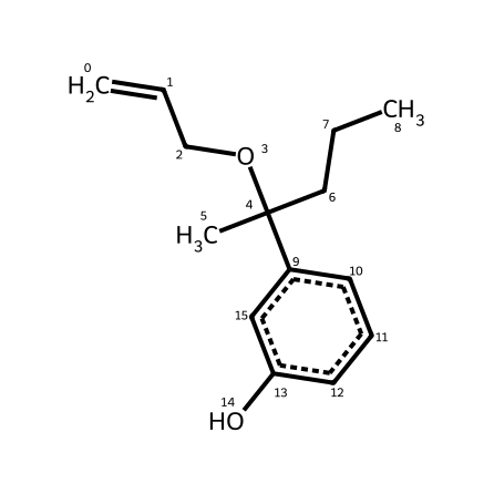 C=CCOC(C)(CCC)c1cccc(O)c1